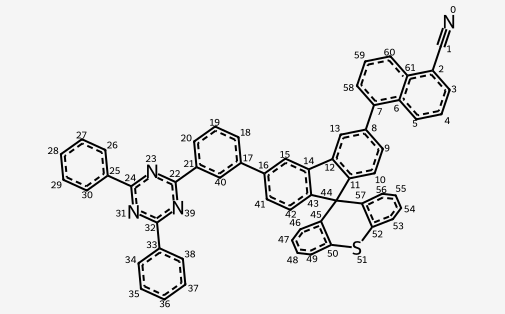 N#Cc1cccc2c(-c3ccc4c(c3)-c3cc(-c5cccc(-c6nc(-c7ccccc7)nc(-c7ccccc7)n6)c5)ccc3C43c4ccccc4Sc4ccccc43)cccc12